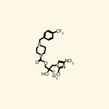 CC(O)(COC(=O)N1CCN(Cc2ccc(C(F)(F)F)cc2)CC1)Cn1cc([N+](=O)[O-])nc1Cl